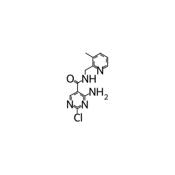 Cc1cccnc1CNC(=O)c1cnc(Cl)nc1N